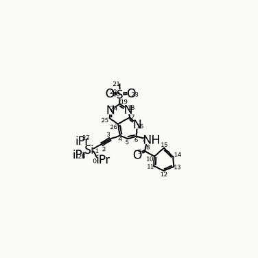 CC(C)[Si](C#Cc1cc(NC(=O)c2ccccc2)nc2nc(S(C)(=O)=O)ncc12)(C(C)C)C(C)C